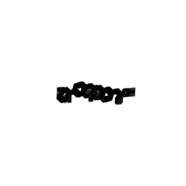 CS(=O)(=O)N(Cc1ccc(-c2cnccn2)cc1)Cc1cccc(CC(=O)O)c1